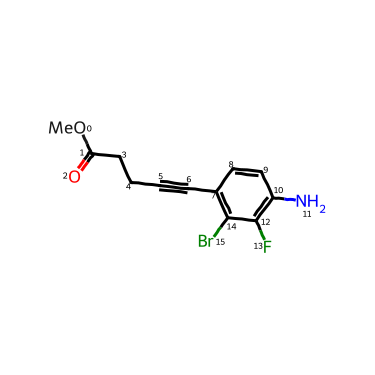 COC(=O)CCC#Cc1ccc(N)c(F)c1Br